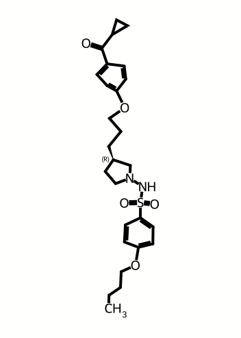 CCCCOc1ccc(S(=O)(=O)NN2CC[C@@H](CCCOc3ccc(C(=O)C4CC4)cc3)C2)cc1